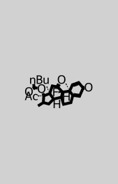 CCCCC(=O)O[C@]1(C(C)=O)C(C)C[C@H]2[C@@H]3CCC4=CC(=O)C=C[C@]4(C)[C@@]3(F)C(=O)C[C@@]21C